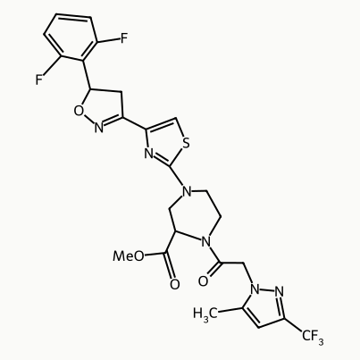 COC(=O)C1CN(c2nc(C3=NOC(c4c(F)cccc4F)C3)cs2)CCN1C(=O)Cn1nc(C(F)(F)F)cc1C